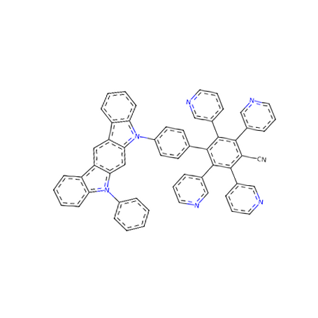 N#Cc1c(-c2cccnc2)c(-c2cccnc2)c(-c2ccc(-n3c4ccccc4c4cc5c6ccccc6n(-c6ccccc6)c5cc43)cc2)c(-c2cccnc2)c1-c1cccnc1